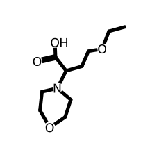 CCOCCC(C(=O)O)N1CCOCC1